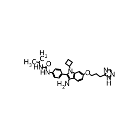 CC(C)NC(=O)Nc1ccc(-c2c(N)c3ccc(OCCCc4ncn[nH]4)cc3n2C2CCC2)cc1